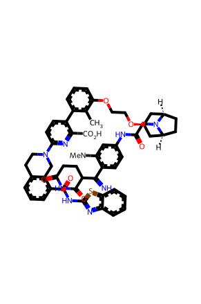 CNc1cc(NC(=O)CN2[C@@H]3CC[C@H]2C[C@@H](OCCOc2cccc(-c4ccc(N5CCc6cccc(C(=O)Nc7nc8ccccc8s7)c6C5)nc4C(=O)O)c2C)C3)ccc1C(=N)C1CCC(=O)NC1=O